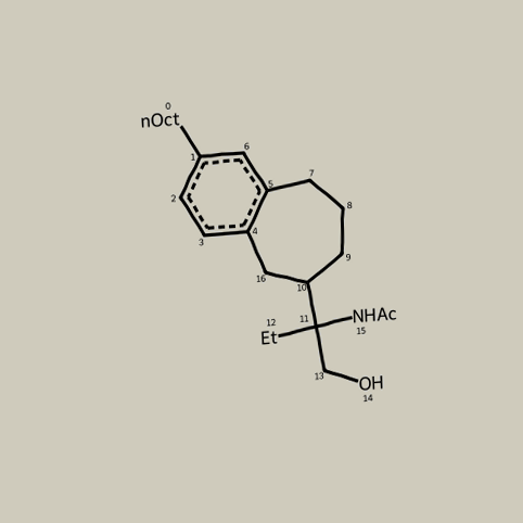 CCCCCCCCc1ccc2c(c1)CCCC(C(CC)(CO)NC(C)=O)C2